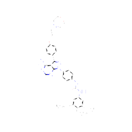 COc1cc(NC(O)Nc2ccc(-n3nc(-c4ccc(OCCN5CCOCC5)cc4)c4c(N)ncnc43)cc2)cc(OC)c1OC